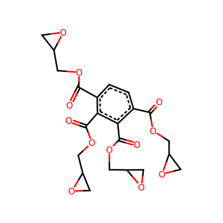 O=C(OCC1CO1)c1ccc(C(=O)OCC2CO2)c(C(=O)OCC2CO2)c1C(=O)OCC1CO1